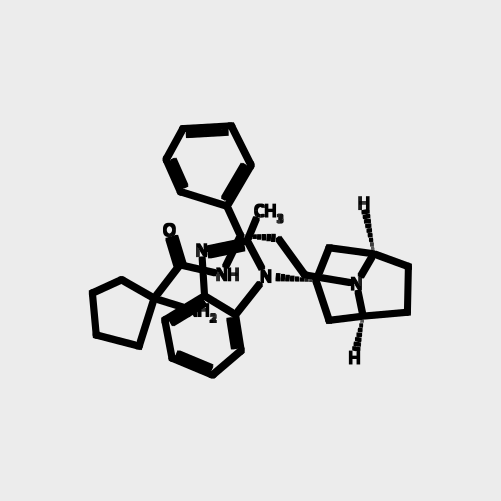 Cc1nc2ccccc2n1[C@@H]1C[C@H]2CC[C@@H](C1)N2CC[C@H](NC(=O)C1(N)CCCC1)c1ccccc1